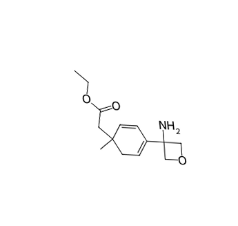 CCOC(=O)CC1(C)C=CC(C2(N)COC2)=CC1